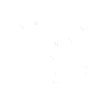 C[C@@H]1CNC[C@H](C)N1c1nc(OCCc2ncccn2)nc2c(F)c(-c3c(O)cccc3F)c(Cl)cc12